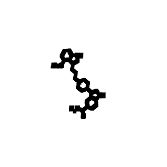 COc1cccc2[nH]cc(CCCN3CCC(c4c[nH]c5ccc(C(N)=O)cc45)CC3)c12